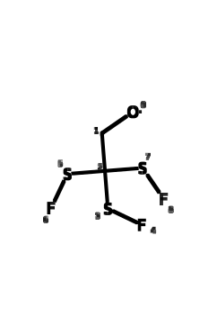 [O]CC(SF)(SF)SF